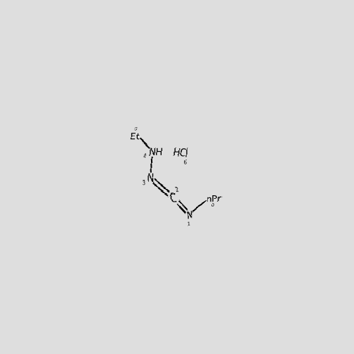 CCCN=C=NNCC.Cl